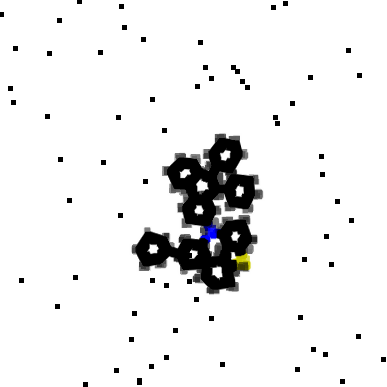 c1ccc(-c2cccc(N(c3ccc4c(c3)c(-c3ccccc3)c(-c3ccccc3)c3ccccc34)c3cccc4sc5ccccc5c34)c2)cc1